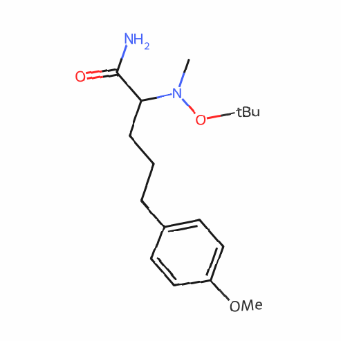 COc1ccc(CCCC(C(N)=O)N(C)OC(C)(C)C)cc1